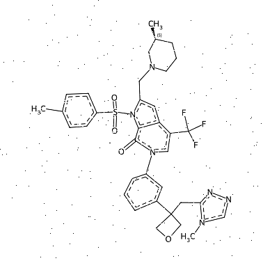 Cc1ccc(S(=O)(=O)n2c(CN3CCC[C@H](C)C3)cc3c(C(F)(F)F)cn(-c4cccc(C5(Cc6nncn6C)COC5)c4)c(=O)c32)cc1